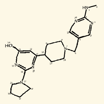 CNc1ncc(CN2CCC(c3cc(O)nc(N4CCCC4)n3)CC2)cn1